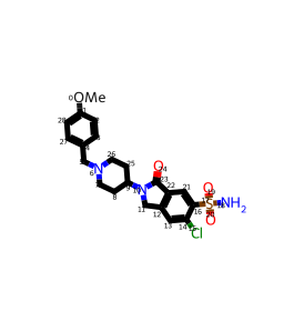 COc1ccc(CN2CCC(N3Cc4cc(Cl)c(S(N)(=O)=O)cc4C3=O)CC2)cc1